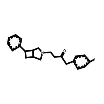 O=C(CCN1CC2CC(c3ccccc3)C2C1)Cc1ccc(F)cc1